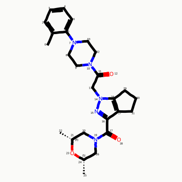 Cc1ccccc1N1CCN(C(=O)Cn2nc(C(=O)N3C[C@@H](C)O[C@@H](C)C3)c3c2CCC3)CC1